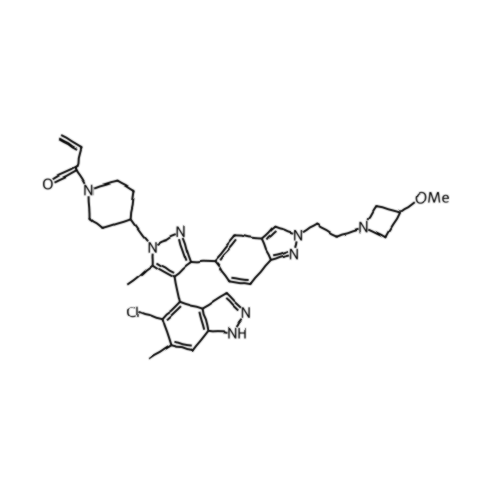 C=CC(=O)N1CCC(n2nc(-c3ccc4nn(CCN5CC(OC)C5)cc4c3)c(-c3c(Cl)c(C)cc4[nH]ncc34)c2C)CC1